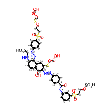 O=C(Nc1cccc(S(=O)(=O)CCOS(=O)(=O)O)c1)c1ccc(/N=N/c2c(SOOO)cc3c(/N=N/c4ccc(S(=O)(=O)CCOSOOO)cc4)c(NCS(=O)(=O)O)ccc3c2O)cc1